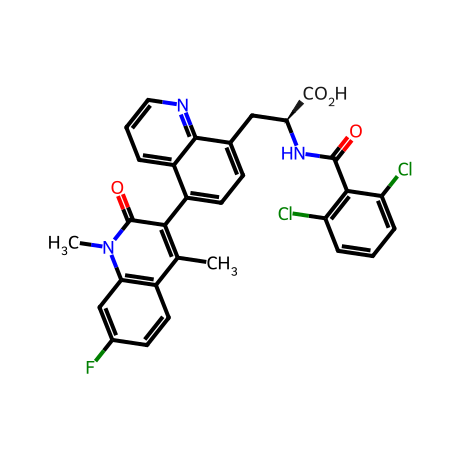 Cc1c(-c2ccc(C[C@H](NC(=O)c3c(Cl)cccc3Cl)C(=O)O)c3ncccc23)c(=O)n(C)c2cc(F)ccc12